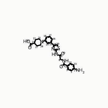 Nc1ccc(C(=O)NCC(=O)Nc2nc(-c3cccc(N4CCC(C(=O)O)CC4)c3)cs2)cc1